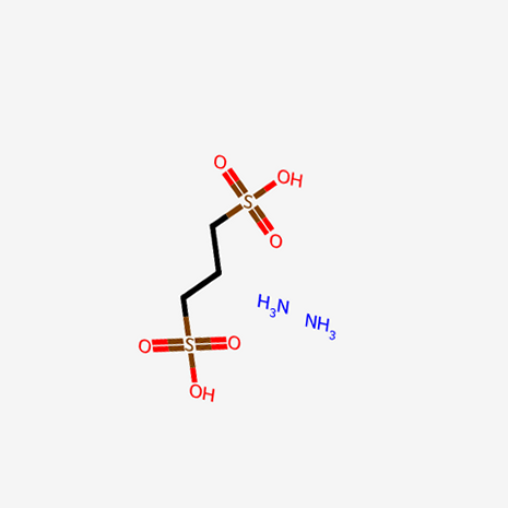 N.N.O=S(=O)(O)CCCS(=O)(=O)O